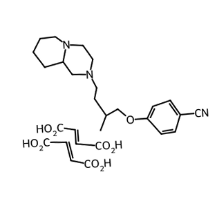 CC(CCN1CCN2CCCCC2C1)COc1ccc(C#N)cc1.O=C(O)/C=C/C(=O)O.O=C(O)/C=C/C(=O)O